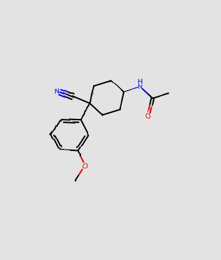 COc1cccc(C2(C#N)CCC(NC(C)=O)CC2)c1